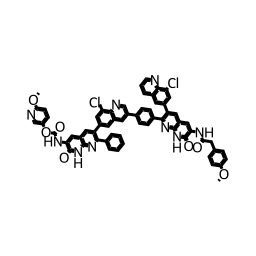 COc1ccc(CC(=O)Nc2cc3cc(-c4cc(Cl)c5ncccc5c4)c(-c4ccc(-c5cnc6c(Cl)cc(-c7cc8cc(NC(=O)Oc9ccc(OC)nc9)c(=O)[nH]c8nc7-c7ccccc7)cc6c5)cc4)nc3[nH]c2=O)cc1